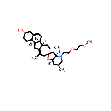 COCCOCCN1C[C@@H](C)C[C@H]2O[C@]3(CC[C@@H]4C(=C(C)C3)CC3[C@H]4CC=C4C[C@@H](O)CC[C@@]43C)[C@H](C)[C@@H]21